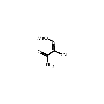 CON=C(C#N)C(N)=O